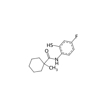 CC1(C(=O)Nc2ccc(F)cc2S)CCCCC1